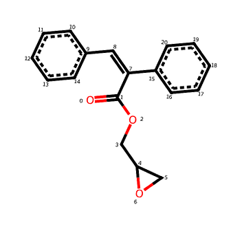 O=C(OCC1CO1)C(=Cc1ccccc1)c1ccccc1